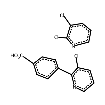 Clc1cccnc1Cl.O=C(O)c1ccc(-c2ncccc2Cl)cc1